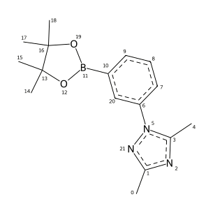 Cc1nc(C)n(-c2cccc(B3OC(C)(C)C(C)(C)O3)c2)n1